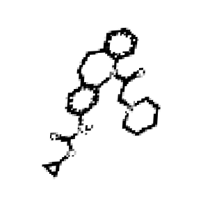 O=C(Nc1ccc2c(c1)N(C(=O)CN1CCCCC1)c1ccccc1CC2)OC1CC1